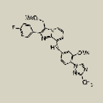 COCc1c(-c2ccc(F)cc2)nc2c(Nc3ccc(-n4cnc(C)n4)c(OC)c3)cccn12